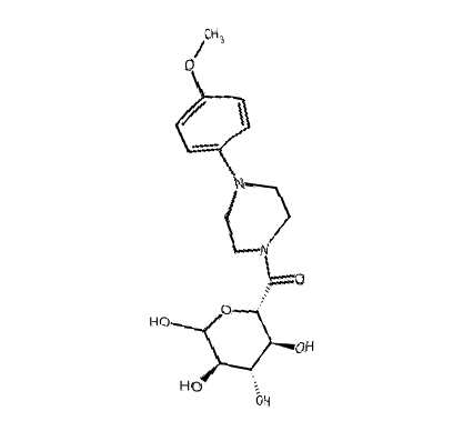 COc1ccc(N2CCN(C(=O)[C@H]3OC(O)[C@H](O)[C@@H](O)[C@@H]3O)CC2)cc1